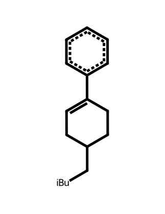 CCC(C)CC1CC=C(c2ccccc2)CC1